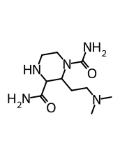 CN(C)CCC1C(C(N)=O)NCCN1C(N)=O